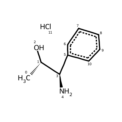 C[C@H](O)[C@H](N)c1ccccc1.Cl